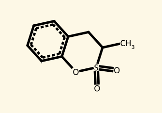 CC1Cc2ccc[c]c2OS1(=O)=O